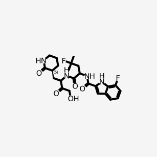 CC(C)(F)CC(NC(=O)c1cc2cccc(F)c2[nH]1)C(=O)NC(C[C@@H]1CCCNC1=O)C(=O)CO